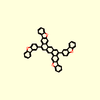 c1ccc2c(c1)oc1ccc(-c3cc4cc5c(cc(-c6ccc7oc8ccccc8c7c6)c6cc7c(cc65)oc5ccccc57)cc4c4cc5oc6ccccc6c5cc34)cc12